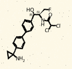 NC1(c2ccc(-c3ccc([C@@H](O)[C@@H](CF)NC(=O)C(Cl)Cl)cc3)cc2)CC1